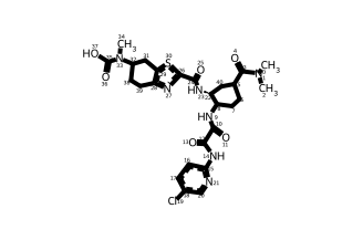 CN(C)C(=O)C1CCC(NC(=O)C(=O)Nc2ccc(Cl)cn2)[C@H](NC(=O)c2nc3c(s2)CC(N(C)C(=O)O)CC3)C1